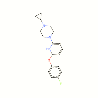 Fc1ccc(OC2C=C[C]=C(N3CCN(C4CC4)CC3)N2)cc1